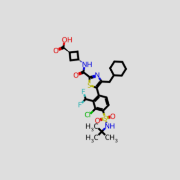 CC(C)(C)NS(=O)(=O)c1ccc(-c2sc(C(=O)N[C@H]3C[C@H](C(=O)O)C3)nc2CC2CCCCC2)c(C(F)F)c1Cl